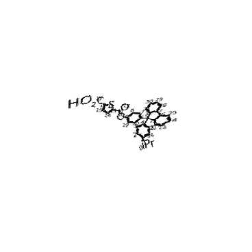 CC(C)c1ccc(C2(c3ccc(OC(=O)c4ccc(C(=O)O)s4)cc3)c3ccccc3-c3ccccc32)cc1